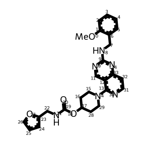 COc1ccccc1CNc1ncc2c(N3CCC(OC(=O)NCc4ccco4)CC3)nccc2n1